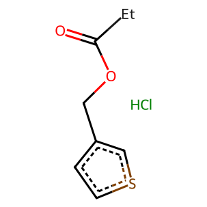 CCC(=O)OCc1ccsc1.Cl